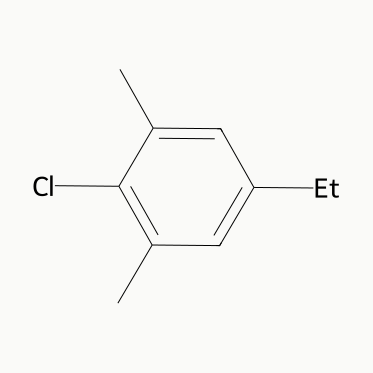 CCc1cc(C)c(Cl)c(C)c1